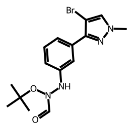 Cn1cc(Br)c(-c2cccc(NN(C=O)OC(C)(C)C)c2)n1